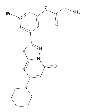 CC(C)c1cc(NC(=O)CN)cc(-c2nn3c(=O)cc(N4CCCCC4)nc3s2)c1